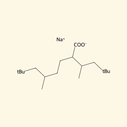 CC(CCC(C(=O)[O-])C(C)CC(C)(C)C)CC(C)(C)C.[Na+]